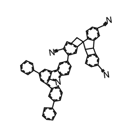 N#Cc1ccc2c(c1)C1c3cc(C#N)ccc3C3(Cc4cc(C#N)c(-c5ccc6c(c5)c5cc(-c7ccccc7)cc7c8cc(-c9ccccc9)ccc8n6c75)cc43)C21